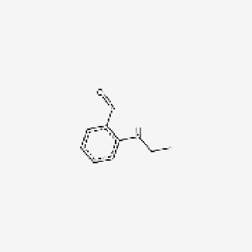 CCNc1ccccc1N=O